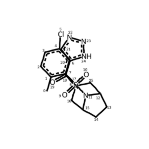 Cc1ccc(Cl)cc1S(=O)(=O)N1C2CCC1CN(C(=O)c1cnn[nH]1)C2